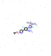 CN(C)C1CN(c2cc(F)c(-c3ccc(OCC4CC4)nc3)cc2N)CC1F